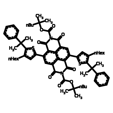 CCCCCCc1cc(-c2cc3c4c(c(-c5cc(CCCCCC)c(C(C)(C)c6ccccc6)s5)cc5c4c2C(=O)N(C(=O)OC(C)(C)CCCC)C5=O)C(=O)N(C(=O)OC(C)(C)CCCC)C3=O)sc1C(C)(C)c1ccccc1